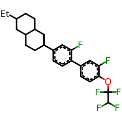 CCC1CCC2CC(c3ccc(-c4ccc(OC(F)(F)C(F)F)c(F)c4)c(F)c3)CCC2C1